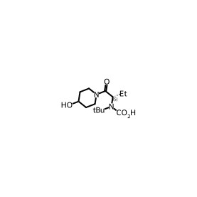 CC[C@@H](C(=O)N1CCC(O)CC1)N(C(=O)O)C(C)(C)C